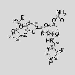 CC(OC(N)=O)c1oc(-c2ccc(OC(F)F)c(OC3CCOC3)c2)nc1C(=O)NCc1ccc(F)cc1F